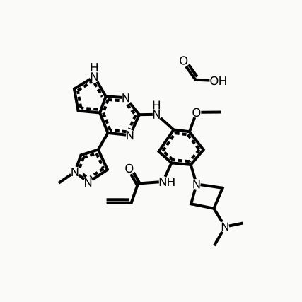 C=CC(=O)Nc1cc(Nc2nc(-c3cnn(C)c3)c3cc[nH]c3n2)c(OC)cc1N1CC(N(C)C)C1.O=CO